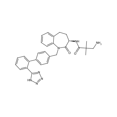 CC(C)(CN)C(=O)N[C@@H]1CCc2ccccc2N(Cc2ccc(-c3ccccc3-c3nnn[nH]3)cc2)C1=O